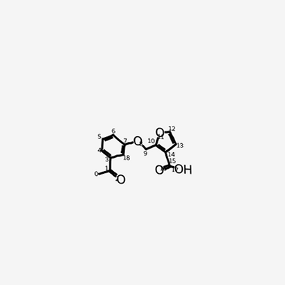 CC(=O)c1cccc(OCc2occc2C(=O)O)c1